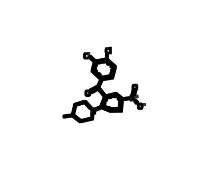 CC1CCN(c2ccc([N+](=O)[O-])cc2C(=O)c2ccc(Cl)c(Cl)c2)CC1